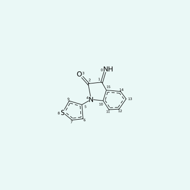 N=C1C(=O)N(c2ccsc2)c2ccccc21